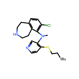 CN(c1cnccc1SCCC(C)(C)C)c1c(Cl)ccc2c1CCNCC2